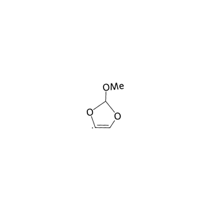 COC1O[C]=CO1